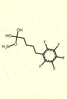 OC(O)(CCCCc1c(F)c(F)c(F)c(F)c1F)O[SiH3]